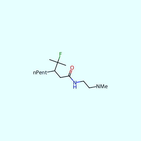 CCCCCC(CC(=O)NCCNC)C(C)(C)F